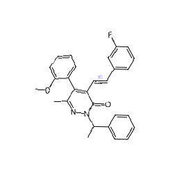 COc1ccccc1-c1c(C)nn(C(C)c2ccccc2)c(=O)c1/C=C/c1cccc(F)c1